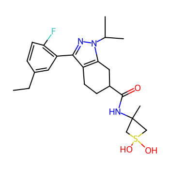 CCc1ccc(F)c(-c2nn(C(C)C)c3c2CCC(C(=O)NC2(C)CS(O)(O)C2)C3)c1